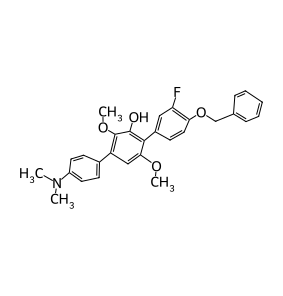 COc1cc(-c2ccc(N(C)C)cc2)c(OC)c(O)c1-c1ccc(OCc2ccccc2)c(F)c1